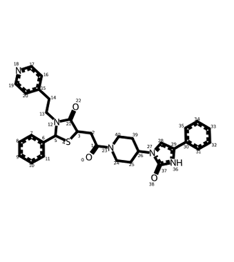 O=C(CC1SC(c2ccccc2)N(CCc2ccncc2)C1=O)N1CCC(n2cc(-c3ccccc3)[nH]c2=O)CC1